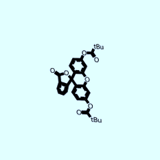 CC(C)(C)C(=O)Oc1ccc2c(c1)Oc1cc(OC(=O)C(C)(C)C)ccc1C21OC(=O)c2ccccc21